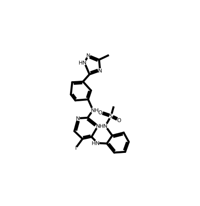 Cc1n[nH]c(-c2cccc(Nc3ncc(I)c(Nc4ccccc4NS(C)(=O)=O)n3)c2)n1